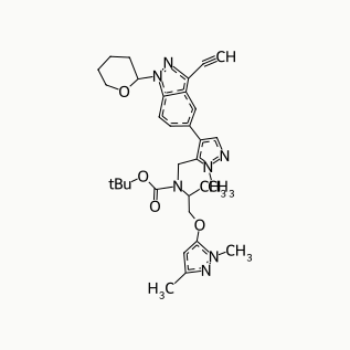 C#Cc1nn(C2CCCCO2)c2ccc(-c3cnn(C)c3CN(C(=O)OC(C)(C)C)C(C)COc3cc(C)nn3C)cc12